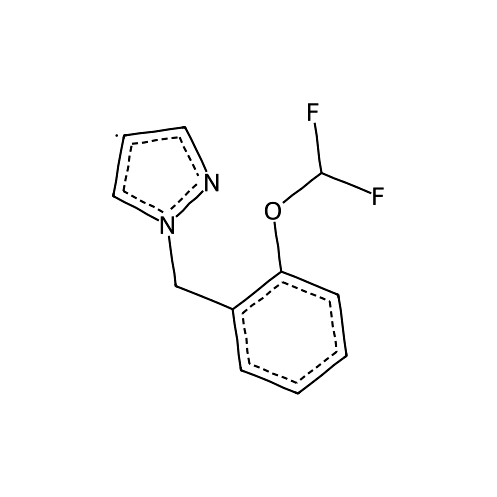 FC(F)Oc1ccccc1Cn1c[c]cn1